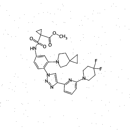 COC(=O)C1(S(=O)(=O)Nc2ccc(-n3cc(-c4cccc(N5CCC(F)(F)CC5)n4)nn3)c(N3CCC4(CC3)CC4)c2)CC1